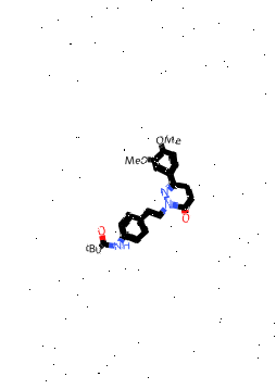 COc1ccc(C2=NN(CCc3ccc(NC(=O)C(C)(C)C)cc3)C(=O)CC2)cc1OC